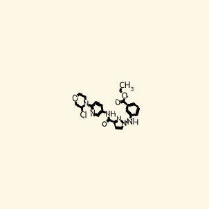 CCOC(=O)c1cccc(Nn2ccc(C(=O)Nc3ccc(N4CCOCC4Cl)nc3)n2)c1